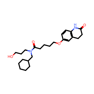 O=C1CCc2cc(OCCCCC(=O)N(CCCO)CC3CCCCC3)ccc2N1